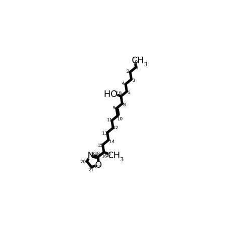 CCCCCCC(O)CC=CCCCCCC(C)C1=NCCO1